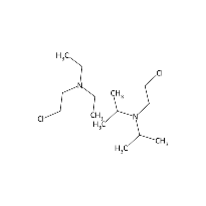 CC(C)N(CCCl)C(C)C.CCN(CC)CCCl